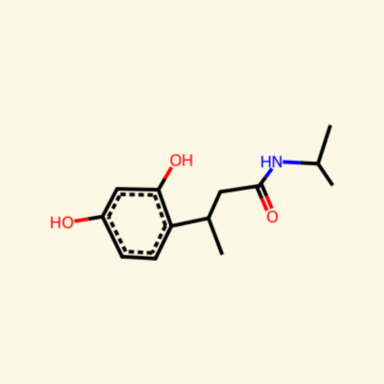 CC(C)NC(=O)CC(C)c1ccc(O)cc1O